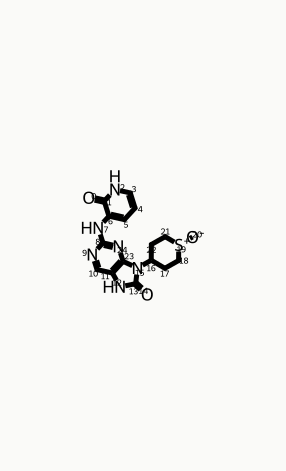 O=c1[nH]cccc1Nc1ncc2[nH]c(=O)n(C3CC[S+]([O-])CC3)c2n1